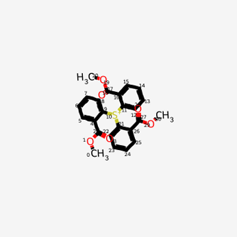 COC(=O)c1ccccc1[S+](c1ccccc1C(=O)OC)c1ccccc1C(=O)OC